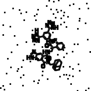 O=C(NCC(C(=O)Nc1cc(-c2nnn[nH]2)cc(-c2nnn[nH]2)c1)c1ccccc1F)c1cc2nc[nH]c2cc1C(=O)NCC12CC3CC(CC(C3)C1)C2